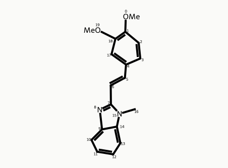 COc1ccc(/C=C/c2nc3ccccc3n2C)cc1OC